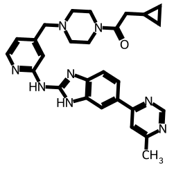 Cc1cc(-c2ccc3nc(Nc4cc(CN5CCN(C(=O)CC6CC6)CC5)ccn4)[nH]c3c2)ncn1